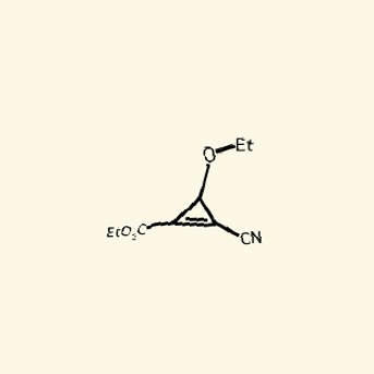 CCOC(=O)C1=C(C#N)C1OCC